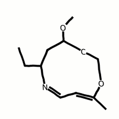 CCC1CC(OC)CCO/C(C)=C/C=N\1